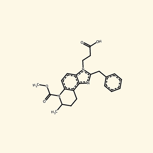 COC(=O)N1c2ccc3c(nc(Cc4ccccc4)n3CCC(=O)O)c2CCC1C